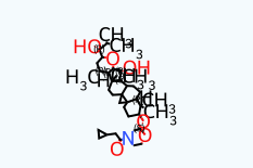 CC(C)[C@@H](O)C1C[C@@H](C)[C@H]2C(O1)[C@H](O)[C@@]1(C)C3CC[C@H]4C(C)(C)C(O[C@H]5CN(C(=O)CC6CC6)CCO5)CCC45CC35CCC21C